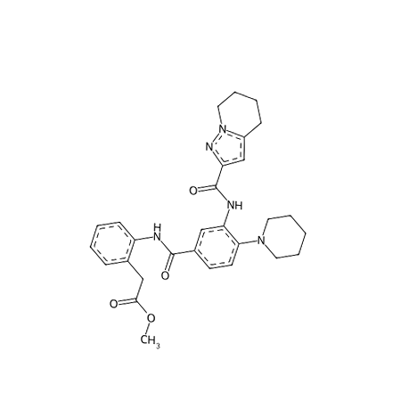 COC(=O)Cc1ccccc1NC(=O)c1ccc(N2CCCCC2)c(NC(=O)c2cc3n(n2)CCCC3)c1